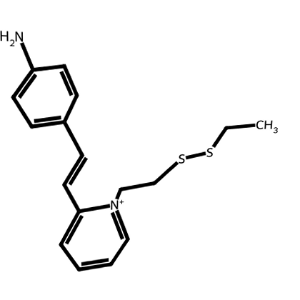 CCSSCC[n+]1ccccc1/C=C/c1ccc(N)cc1